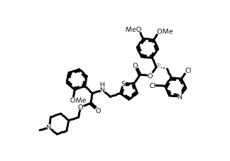 COc1ccc([C@H](Cc2c(Cl)cncc2Cl)OC(=O)c2ccc(CNC(C(=O)OCC3CCN(C)CC3)c3ccccc3OC)s2)cc1OC